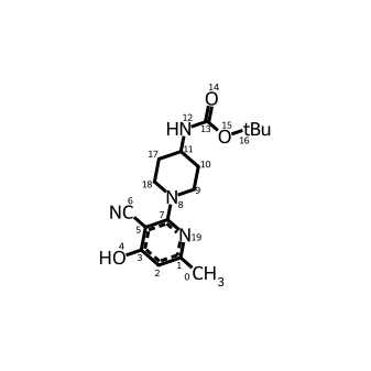 Cc1cc(O)c(C#N)c(N2CCC(NC(=O)OC(C)(C)C)CC2)n1